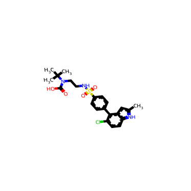 Cc1cc2c(-c3ccc(S(=O)(=O)NCCN(C(=O)O)C(C)(C)C)cc3)c(Cl)ccc2[nH]1